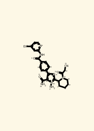 CCc1ccnc(NC(=O)c2ccc(-c3nc(C4CCCCN4C(=O)CC#N)n(N)c3C(N)=O)cc2)c1